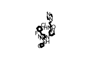 CN1CCN(CCC(=O)Nc2cc(Nc3cc(-c4cc(Cl)ccc4F)nnc3O[C@H]3CCOC3)ccn2)CC1